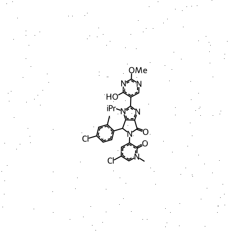 COc1ncc(-c2nc3c(n2C(C)C)C(c2ccc(Cl)cc2C)N(c2cc(Cl)cn(C)c2=O)C3=O)c(O)n1